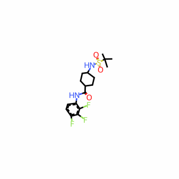 CC(C)(C)S(=O)(=O)NC1CCC(C(=O)Nc2ccc(F)c(F)c2F)CC1